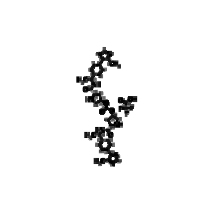 Cc1ncsc1-c1ccc([C@H](C)NC(=O)[C@@H]2C[C@@H](OC(=O)O[C@H]3CN[C@H](C(=O)N[C@@H](C)c4ccc(-c5scnc5C)cc4)C3)CN2)cc1.O=C(O)C(F)(F)F